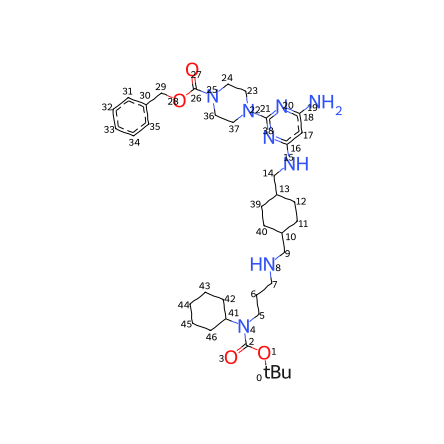 CC(C)(C)OC(=O)N(CCCNCC1CCC(CNc2cc(N)nc(N3CCN(C(=O)OCc4ccccc4)CC3)n2)CC1)C1CCCCC1